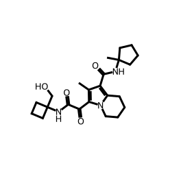 Cc1c(C(=O)NC2(C)CCCC2)c2n(c1C(=O)C(=O)NC1(CO)CCC1)CCCC2